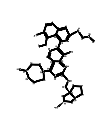 CCc1c(F)ccc2cc(OCOC)cc(-c3ncc4c(N5CCC[S+]([O-])CC5)nc(OC[C@@]56CCCN5C[C@H](F)C6)nc4c3F)c12